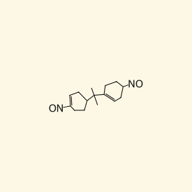 CC(C)(C1=CCC(N=O)CC1)C1CC=C(N=O)CC1